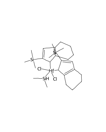 C[SiH](C)[Hf]([Cl])([Cl])([CH]1C([Si](C)(C)C)=CC2=C1CCCC2)[CH]1C([Si](C)(C)C)=CC2=C1CCCC2